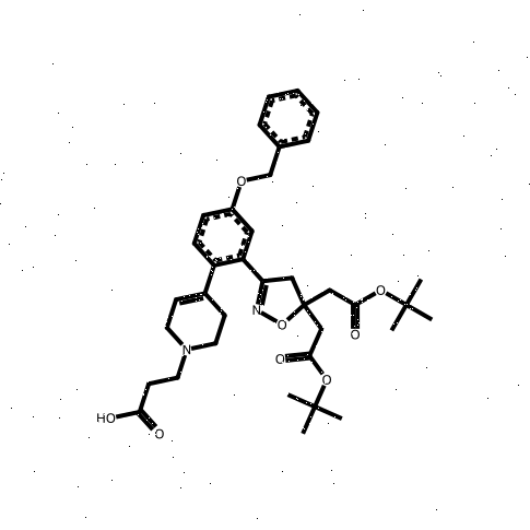 CC(C)(C)OC(=O)CC1(CC(=O)OC(C)(C)C)CC(c2cc(OCc3ccccc3)ccc2C2=CCN(CCC(=O)O)CC2)=NO1